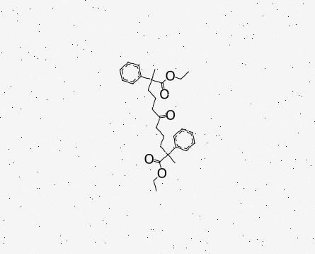 CCOC(=O)C(C)(CCCC(=O)CCCC(C)(C(=O)OCC)c1ccccc1)c1ccccc1